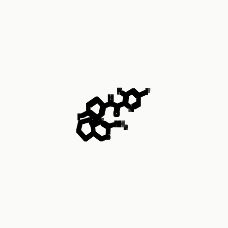 NC1=NC2(c3cc(NC(=O)c4ncc(F)cc4F)ccc3F)CCCCC2CS1